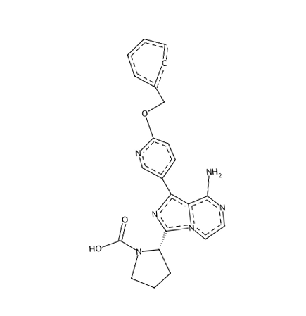 Nc1nccn2c([C@@H]3CCCN3C(=O)O)nc(-c3ccc(OCc4ccccc4)nc3)c12